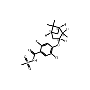 C[C@@H]1[C@H](Oc2cc(F)c(C(=O)NS(C)(=O)=O)cc2Cl)C[C@H]2C[C@@H]1C2(C)C